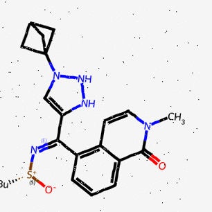 Cn1ccc2c(/C(=N\[S@+]([O-])C(C)(C)C)C3=CN(C45CC(C4)C5)NN3)cccc2c1=O